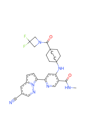 CNC(=O)c1cnc(-c2ccc3cc(C#N)cnn23)cc1NC12CCC(C(=O)N3CC(F)(F)C3)(CC1)CC2